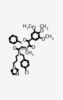 COc1cc(C(=O)C(=O)N(C)[C@@H](Cc2ccccc2)C(=O)N(CCCn2ccnc2)Cc2ccc(Cl)cc2)cc(OC)c1OC